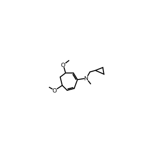 COC1C=CC(N(C)CC2CC2)=CC(OC)C1